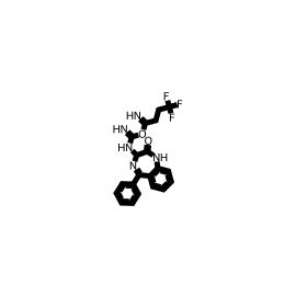 N=C(CCC(F)(F)F)OC(=N)NC1N=C(c2ccccc2)c2ccccc2NC1=O